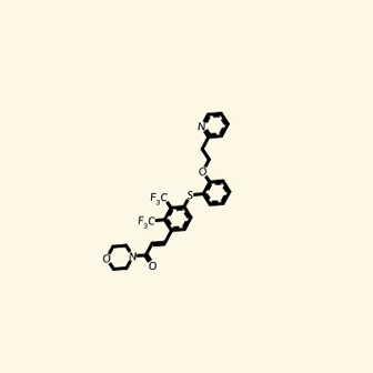 O=C(C=Cc1ccc(Sc2ccccc2OCCc2ccccn2)c(C(F)(F)F)c1C(F)(F)F)N1CCOCC1